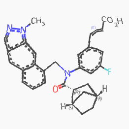 Cn1ncc2cc3cccc(CN(C(=O)[C@@H]4C[C@@H]5CC[C@H]4C5)c4cc(F)cc(/C=C/C(=O)O)c4)c3cc21